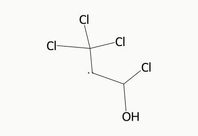 OC(Cl)[CH]C(Cl)(Cl)Cl